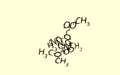 CCOC(=O)CCc1ccc(OC)c(-c2ccc(N3CCC3)nc2CN2C(=O)O[C@H](c3cc(C)cc(C)c3)C2C)c1